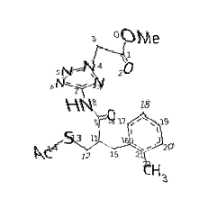 COC(=O)Cn1nnc(NC(=O)C(CSC(C)=O)Cc2ccccc2C)n1